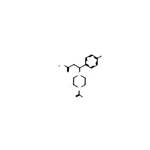 COC(=O)CC(c1ccc(F)cc1)N1C[C@H](C)N(C(=O)O)C[C@H]1C